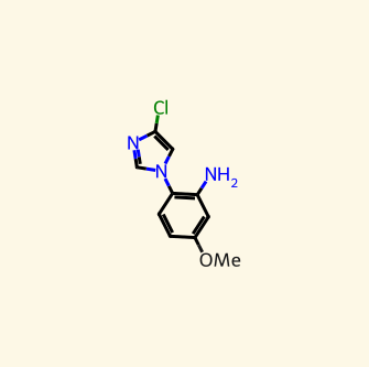 COc1ccc(-n2cnc(Cl)c2)c(N)c1